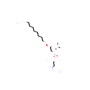 CCCCCCCCCCCCCCCCCCOC[C@H](COP(=O)(OCCNC(=O)O)OC(C)(C)C)O[Si](C)(C)C(C)(C)C